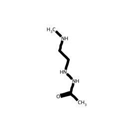 CNCCNNC(C)=O